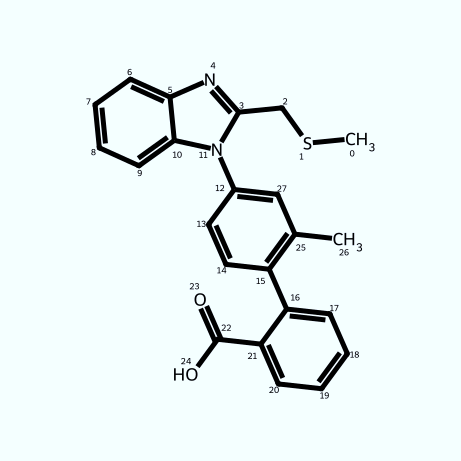 CSCc1nc2ccccc2n1-c1ccc(-c2ccccc2C(=O)O)c(C)c1